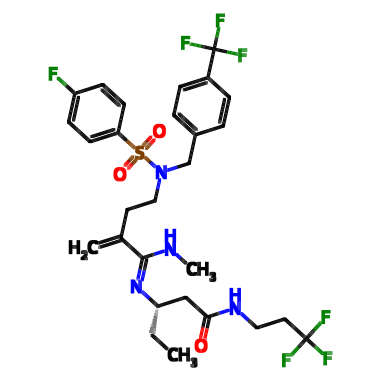 C=C(CCN(Cc1ccc(C(F)(F)F)cc1)S(=O)(=O)c1ccc(F)cc1)/C(=N/[C@@H](CC)CC(=O)NCCC(F)(F)F)NC